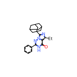 CCc1nc(C23CC4CC(CC(C4)C2)C3)n2nc(-c3ccccc3)[nH]c(=O)c12